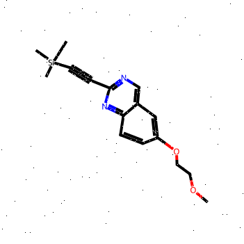 COCCOc1ccc2nc(C#C[Si](C)(C)C)ncc2c1